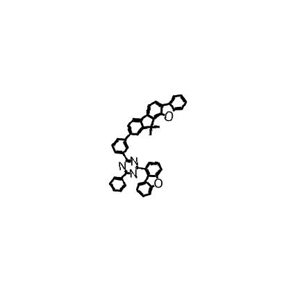 CC1(C)c2cc(-c3cccc(-c4nc(-c5ccccc5)nc(-c5cccc6oc7ccccc7c56)n4)c3)ccc2-c2ccc3c(oc4ccccc43)c21